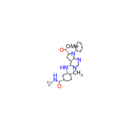 COC(=O)c1cc2c(Nc3cc(C(=O)NC4CC4)ccc3C)ncnc2n1-c1ccccc1